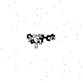 C[C@]1(N2CCCC2=O)C[C@@H](Nc2ncc3c(-c4ccn5nccc5c4)c[nH]c3n2)C1